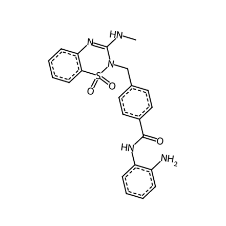 CNC1=Nc2ccccc2S(=O)(=O)N1Cc1ccc(C(=O)Nc2ccccc2N)cc1